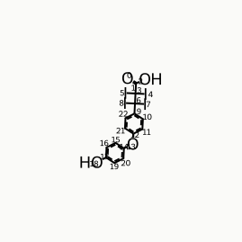 O=C(O)C(I)(I)C(I)(I)c1ccc(Oc2ccc(O)cc2)cc1